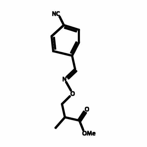 COC(=O)C(C)CON=Cc1ccc(C#N)cc1